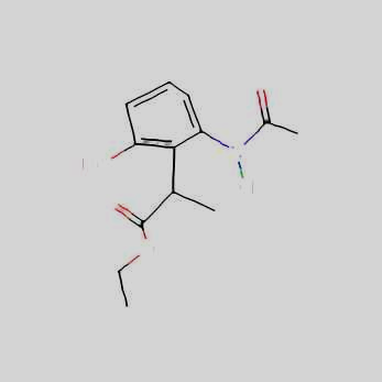 CCOC(=O)C(C)c1c(O)cccc1N(Cl)C(C)=O